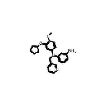 COc1ccc(N(Cc2cccnc2)c2cccc(N)c2)cc1OC1CCCC1